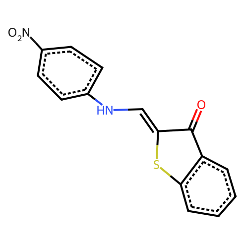 O=C1C(=CNc2ccc([N+](=O)[O-])cc2)Sc2ccccc21